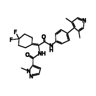 Cc1cncc(C)c1-c1ccc(NC(=O)C(NC(=O)c2ccnn2C)=C2CCC(F)(F)CC2)cc1